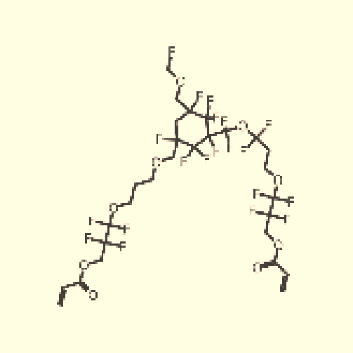 C=CC(=O)OCC(F)(F)C(F)(F)OCCCOCC1(F)CC(F)(COCF)C(F)(F)C(F)(C(F)(F)OC(F)(F)CCOC(F)(F)C(F)(F)COC(=O)C=C)C1(F)F